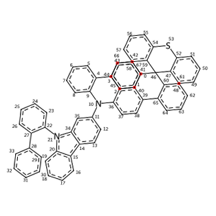 c1ccc(-c2ccccc2N(c2ccc3c4ccccc4n(-c4ccccc4-c4ccccc4)c3c2)c2ccc3c4c(cccc24)C2(c4ccccc4Sc4ccccc42)c2ccccc2-3)cc1